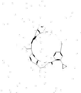 Cc1c2ccc3c1nnn3CCCOCc1ccc(c(C3CC3)c1)C(=O)N1CCc3ccc(cc3C1)C2CC(=O)O